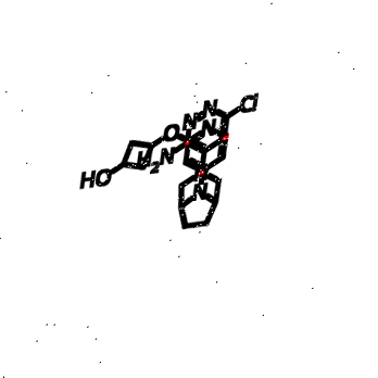 Nc1nnc(Cl)cc1N1CC2CCC(C1)N2c1ccnc(OC2CC(O)C2)c1